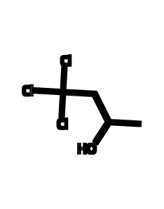 CC(O)CC(Cl)(Cl)Cl